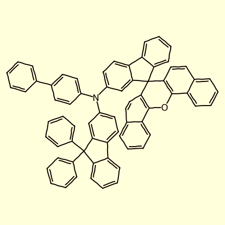 c1ccc(-c2ccc(N(c3ccc4c(c3)C(c3ccccc3)(c3ccccc3)c3ccccc3-4)c3ccc4c(c3)C3(c5ccccc5-4)c4ccc5ccccc5c4Oc4c3ccc3ccccc43)cc2)cc1